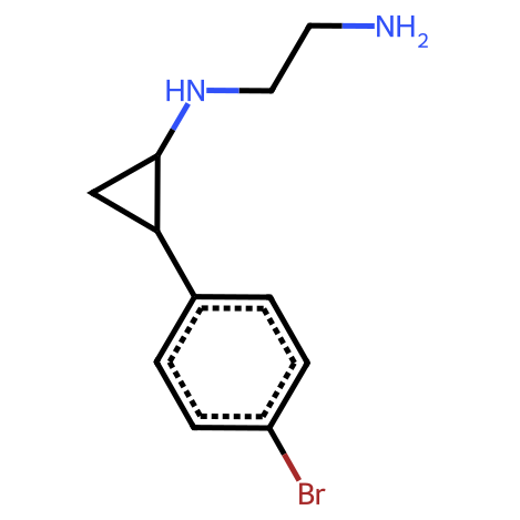 NCCNC1CC1c1ccc(Br)cc1